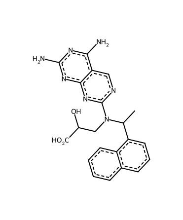 CC(c1cccc2ccccc12)N(CC(O)C(=O)O)c1ncc2c(N)nc(N)nc2n1